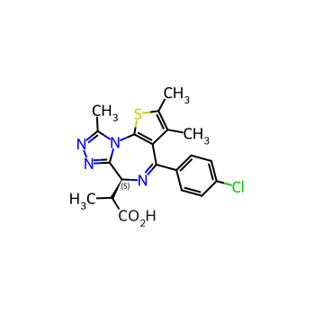 Cc1sc2c(c1C)C(c1ccc(Cl)cc1)=N[C@@H](C(C)C(=O)O)c1nnc(C)n1-2